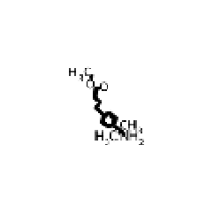 CCOC(=O)CCCc1ccc(C(C)(C)N)cc1